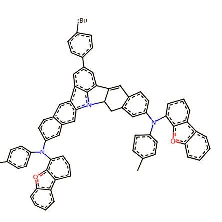 Cc1ccc(N(c2ccc3c(c2)CC2C(=C3)c3cc(-c4ccc(C(C)(C)C)cc4)cc4c5cc6ccc(N(c7ccc(C)cc7)c7cccc8c7oc7ccccc78)cc6cc5n2c34)c2cccc3c2oc2ccccc23)cc1